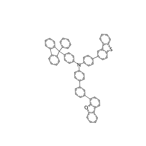 c1ccc(C2(c3ccc(N(c4ccc(-c5cccc(-c6cccc7c6oc6ccccc67)c5)cc4)c4ccc(-c5ccc6sc7ccccc7c6c5)cc4)cc3)c3ccccc3-c3ccccc32)cc1